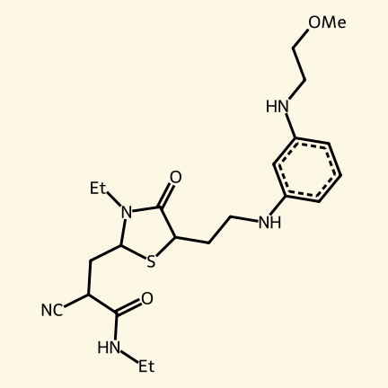 CCNC(=O)C(C#N)CC1SC(CCNc2cccc(NCCOC)c2)C(=O)N1CC